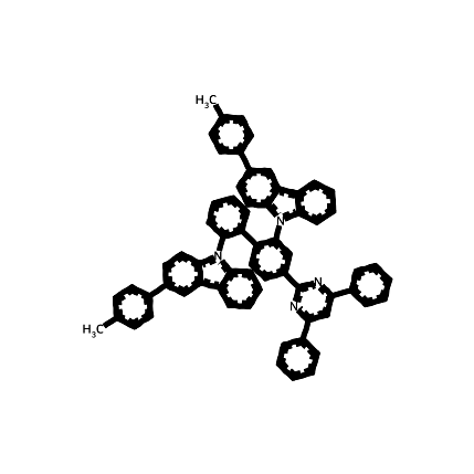 Cc1ccc(-c2ccc3c(c2)c2ccccc2n3-c2ccccc2-c2ccc(-c3nc(-c4ccccc4)cc(-c4ccccc4)n3)cc2-n2c3ccccc3c3cc(-c4ccc(C)cc4)ccc32)cc1